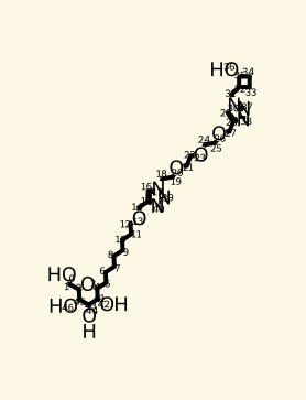 OCC1OC(CCCCCCCCOCc2cn(CCOCCOCCOCc3cn(CC4CCC4O)nn3)nn2)C(O)C(O)C1O